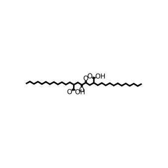 CCCCCCCCCCCCC(CC(=O)C(=O)CC(CCCCCCCCCCCC)C(=O)O)C(=O)O